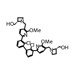 COc1nc(-c2cccc(-c3cccc(-c4ccc(CN5CC[C@@H]5CO)c(OC)n4)c3Cl)c2Cl)ccc1CN1CC[C@@H]1CO